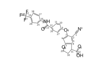 N#Cc1cc2c(cc1Oc1ccc(C(=O)Nc3ccc(C(F)(F)F)cc3)cc1)OCCC2C(=O)O